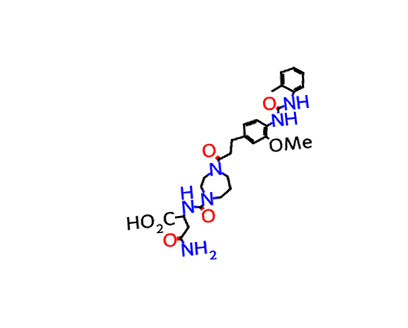 COc1cc(CCC(=O)N2CCCN(C(=O)NC(CC(N)=O)C(=O)O)CC2)ccc1NC(=O)Nc1ccccc1C